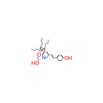 CCC[CH2][Sn]([CH2]CCC)([CH2]CCC)[c]1cc(C=Cc2ccc(O)cc2)cnc1OCCO